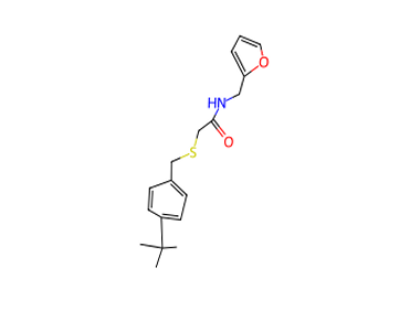 CC(C)(C)c1ccc(CSCC(=O)NCc2ccco2)cc1